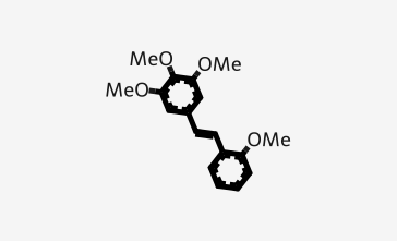 COc1ccccc1C=Cc1cc(OC)c(OC)c(OC)c1